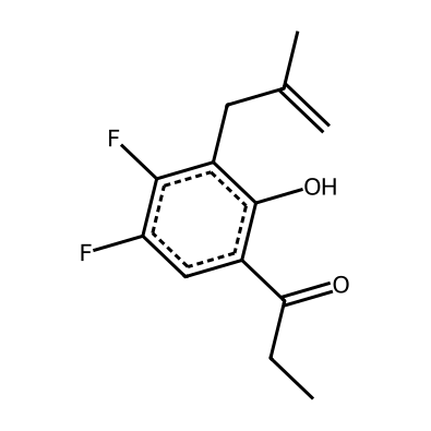 C=C(C)Cc1c(O)c(C(=O)CC)cc(F)c1F